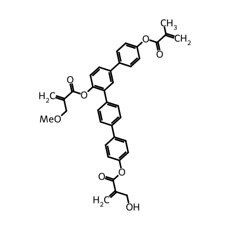 C=C(C)C(=O)Oc1ccc(-c2ccc(OC(=O)C(=C)COC)c(-c3ccc(-c4ccc(OC(=O)C(=C)CO)cc4)cc3)c2)cc1